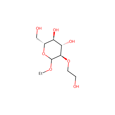 CCOC1O[C@H](CO)[C@@H](O)[C@H](O)[C@H]1OCCO